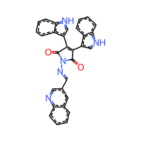 O=C1C(c2c[nH]c3ccccc23)=C(c2c[nH]c3ccccc23)C(=O)N1/N=C/c1cnc2ccccc2c1